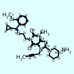 C=Nc1ccccc1/C(=N\CCn1c(=O)c2c(nc(N3CCC[C@@H](N)C3)n2CC#CC)n(C)c1=O)C1CC1